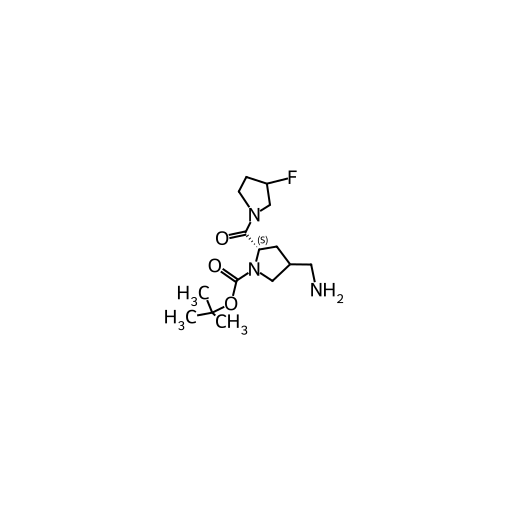 CC(C)(C)OC(=O)N1CC(CN)C[C@H]1C(=O)N1CCC(F)C1